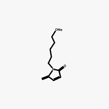 C=C1C=CC(=O)N1CCCCCOC